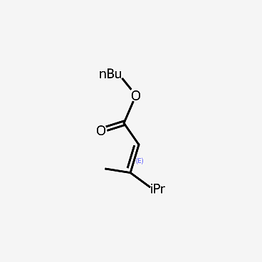 CCCCOC(=O)/C=C(\C)C(C)C